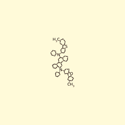 Cc1ccc2oc3ccc(N(c4ccccc4)c4cc5c6ccccc6c(N(c6ccccc6)c6ccc7sc8ccc(C)cc8c7c6)cc5c5ccccc45)cc3c2c1